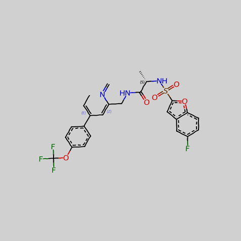 C=N/C(=C\C(=C/C)c1ccc(OC(F)(F)F)cc1)CNC(=O)[C@H](C)NS(=O)(=O)c1cc2cc(F)ccc2o1